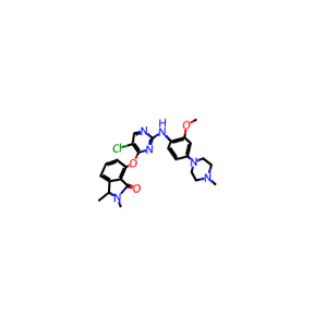 COc1cc(N2CCN(C)CC2)ccc1Nc1ncc(Cl)c(Oc2cccc3c2C(=O)N(C)C3C)n1